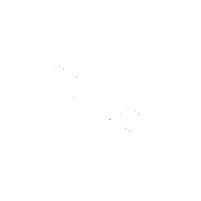 O=[N+]([O-])c1cc(Cl)c(Oc2ccc3nc4n(c3c2)CCCO4)c(Cl)c1